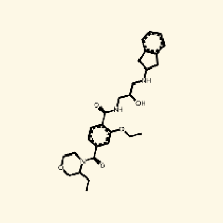 CCOc1cc(C(=O)N2CCOCC2CC)ccc1C(=O)NCC(O)CNC1Cc2ccccc2C1